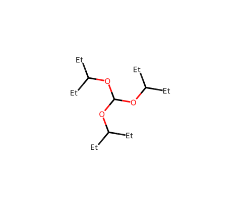 CCC(CC)OC(OC(CC)CC)OC(CC)CC